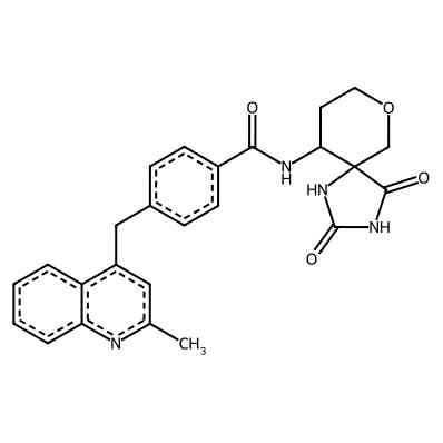 Cc1cc(Cc2ccc(C(=O)NC3CCOCC34NC(=O)NC4=O)cc2)c2ccccc2n1